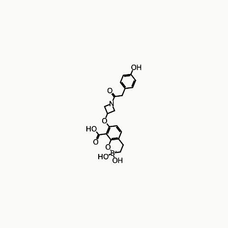 O=C(O)c1c(OC2CN(C(=O)Cc3ccc(O)cc3)C2)ccc2c1O[B-](O)(O)CC2